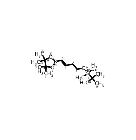 CC1(C)OB(C=CCCO[Si](C)(C)C(C)(C)C)OC1(C)C